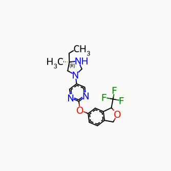 CC[C@]1(C)CN(c2cnc(Oc3ccc4c(c3)C(C(F)(F)F)OC4)nc2)CN1